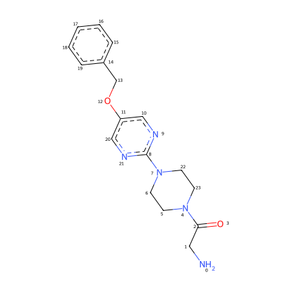 NCC(=O)N1CCN(c2ncc(OCc3ccccc3)cn2)CC1